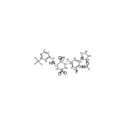 CC(C)(C)c1cccc(CN[C@H]2CS(=O)(=O)C[C@@H](Cc3cc(F)c(N)c(N4CCCC4=O)c3)[C@@H]2O)c1